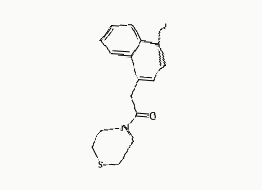 O=C(Cc1ccc(I)c2ccccc12)N1CCSCC1